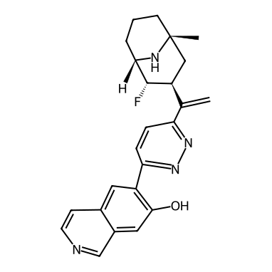 C=C(c1ccc(-c2cc3ccncc3cc2O)nn1)[C@@H]1C[C@@]2(C)CCC[C@H](N2)[C@H]1F